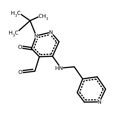 CC(C)(C)n1ncc(NCc2ccncc2)c(C=O)c1=O